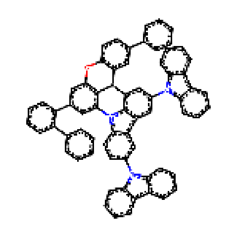 c1ccc(-c2ccc3c(c2)B2c4c(cc(-c5ccccc5-c5ccccc5)cc4-n4c5ccc(-n6c7ccccc7c7ccccc76)cc5c5cc(-n6c7ccccc7c7ccccc76)cc2c54)O3)cc1